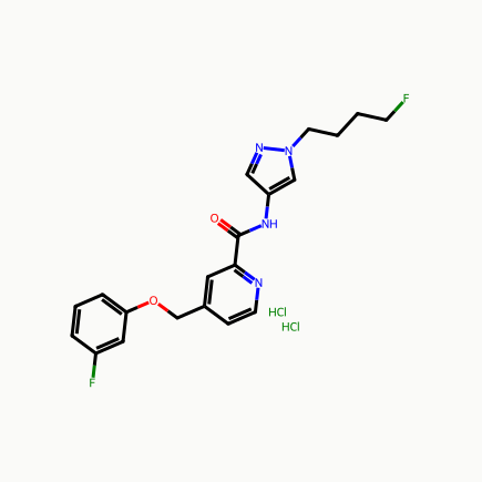 Cl.Cl.O=C(Nc1cnn(CCCCF)c1)c1cc(COc2cccc(F)c2)ccn1